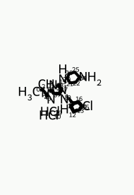 CC(C)n1cnc2c(NCc3cccc(Cl)c3)nc(N[C@H]3CC[C@H](N)CC3)nc21.Cl.Cl